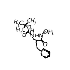 CC(C)(C)OC(=O)NCC(Cc1ccccc1)C(=O)NO